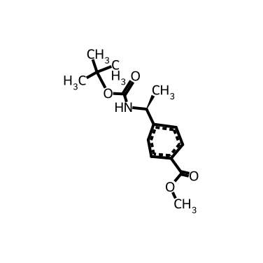 COC(=O)c1ccc([C@H](C)NC(=O)OC(C)(C)C)cc1